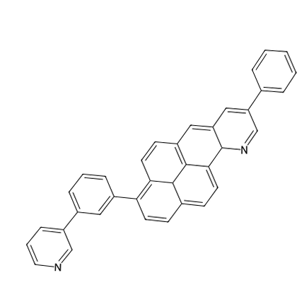 C1=CC(c2cccc(-c3cccnc3)c2)=C2C=CC3=C4C(=CC=C1C24)C1N=CC(c2ccccc2)=CC1=C3